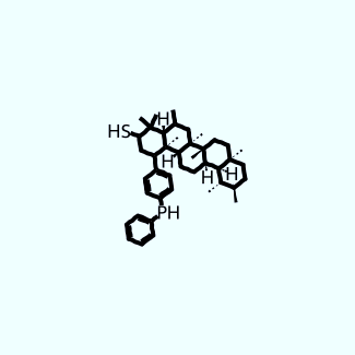 CC1C[C@]2(C)[C@H](CC[C@@H]3[C@@H]4[C@@H](C)[C@H](C)CC[C@]4(C)CC[C@]32C)[C@@]2(C)C(c3ccc(Pc4ccccc4)cc3)CC(S)C(C)(C)[C@H]12